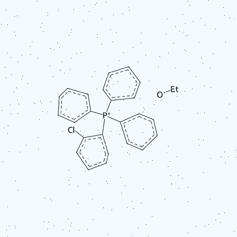 CC[O-].Clc1ccccc1[P+](c1ccccc1)(c1ccccc1)c1ccccc1